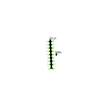 CNC.O=S(=O)(O)C(F)(F)C(F)(F)C(F)(F)C(F)(F)C(F)(F)C(F)(F)C(F)(F)C(F)(F)C(F)F